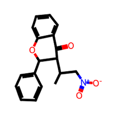 CC(C[N+](=O)[O-])C1C(=O)c2ccccc2OC1c1ccccc1